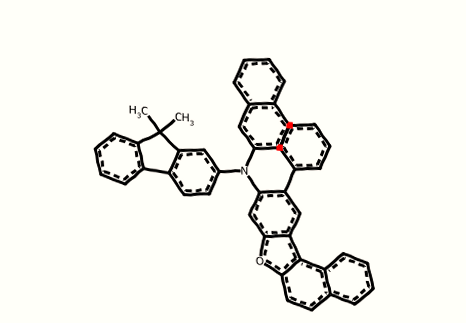 CC1(C)c2ccccc2-c2ccc(N(c3ccc4ccccc4c3)c3cc4oc5ccc6ccccc6c5c4cc3-c3ccccc3)cc21